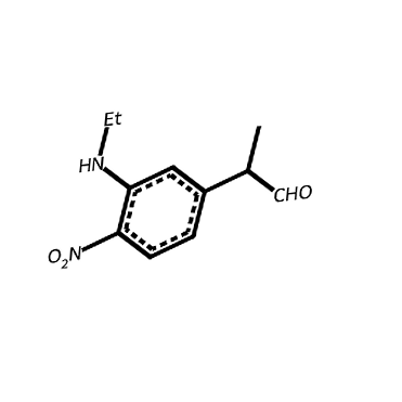 CCNc1cc(C(C)C=O)ccc1[N+](=O)[O-]